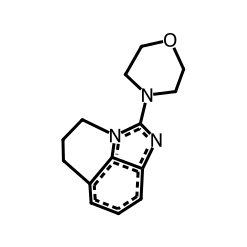 c1cc2c3c(c1)nc(N1CCOCC1)n3CCC2